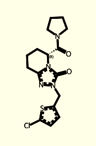 O=C([C@H]1CCCc2nn(Cc3ccc(Cl)s3)c(=O)n21)N1CCCC1